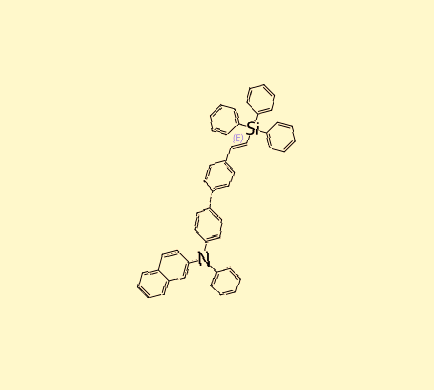 C(=C\[Si](c1ccccc1)(c1ccccc1)c1ccccc1)/c1ccc(-c2ccc(N(c3ccccc3)c3ccc4ccccc4c3)cc2)cc1